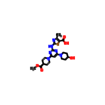 COC(=O)C1CCN(c2cc(N3CCC(O)CC3)nc(Nc3nc(C)c(C(=O)O)s3)n2)CC1